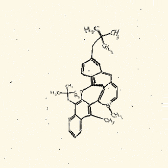 Cc1c2c(c(CC(C)(C)C)c3ncccc13)Oc1c3ccc(CC(C)(C)C)cc3cc3cc[n+](C)c-2c13